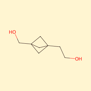 OCCC12CC(CO)(C1)C2